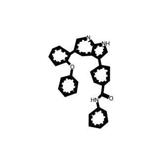 O=C(Nc1ccccc1)c1ccc(-c2c[nH]c3ncc(-c4ccccc4Oc4ccccc4)cc23)cc1